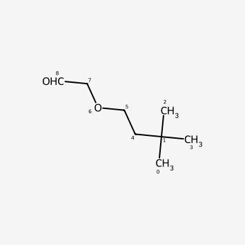 CC(C)(C)CCOCC=O